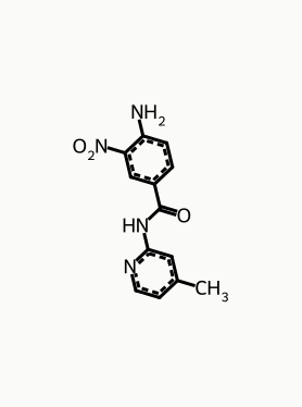 Cc1ccnc(NC(=O)c2ccc(N)c([N+](=O)[O-])c2)c1